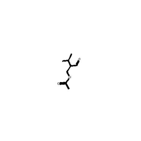 CC(=O)OCC(C=O)C(C)C